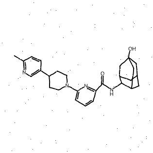 Cc1ccc(C2CCN(c3cccc(C(=O)NC4C5CC6CC4CC(O)(C6)C5)n3)CC2)cn1